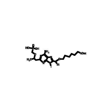 CCCCCCCCCCCCCCCCOC(CC)c1nc2c(N)nc(CC(C)OCP(=O)(O)O)nc2n1I